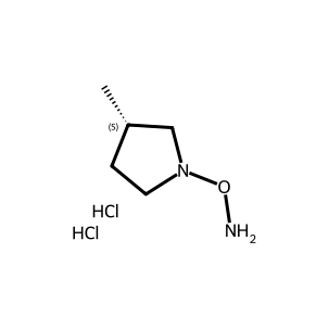 C[C@H]1CCN(ON)C1.Cl.Cl